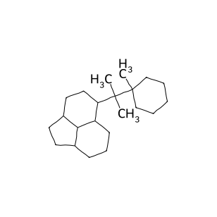 CC1(C(C)(C)C2CCC3CCC4CCCC2C43)CCCCC1